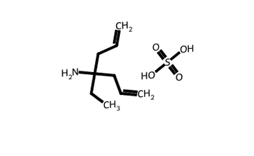 C=CCC(N)(CC)CC=C.O=S(=O)(O)O